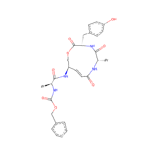 CC(C)[C@@H]1NC(=O)/C=C/[C@@H](NC(=O)[C@@H](NC(=O)OCc2ccccc2)C(C)C)COC(=O)[C@H](Cc2ccc(O)cc2)NC1=O